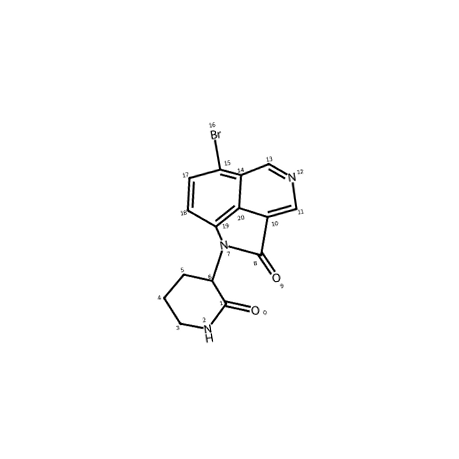 O=C1NCCCC1N1C(=O)c2cncc3c(Br)ccc1c23